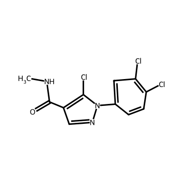 CNC(=O)c1cnn(-c2ccc(Cl)c(Cl)c2)c1Cl